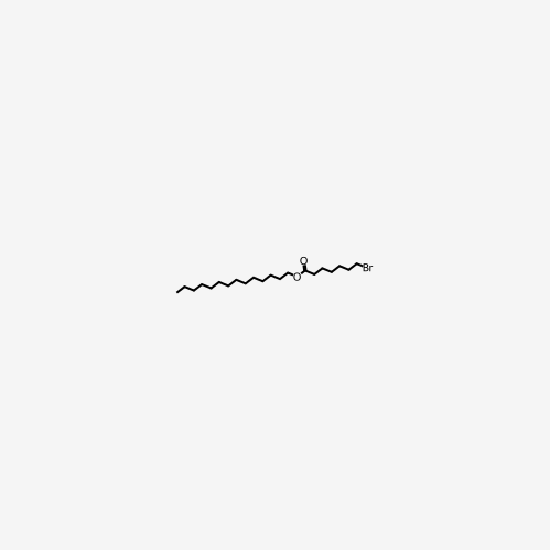 CCCCCCCCCCCCCCOC(=O)CCCCCCBr